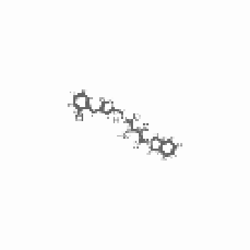 O=C(NCc1cc(Cc2ccccc2Cl)cs1)C(O)C(O)C(=O)N1Cc2ccccc2C1